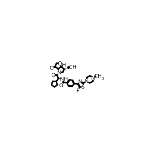 C#C[C@@H]1CN(C(=O)[C@@H](NC(=O)c2ccc(-c3nc(N4CCN(C)CC4)sc3F)cc2)C2CCCC2)C2C(=O)CO[C@@H]21